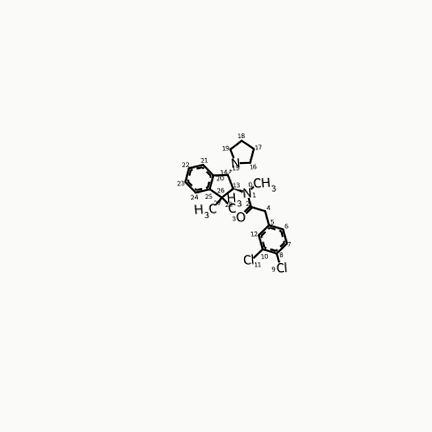 CN(C(=O)Cc1ccc(Cl)c(Cl)c1)[C@@H]1[C@@H](N2CCCC2)c2ccccc2C1(C)C